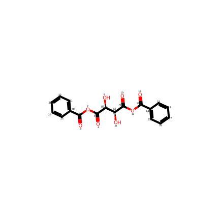 O=C(OC(=O)[C@@H](O)[C@H](O)C(=O)OC(=O)c1ccccc1)c1ccccc1